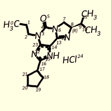 CCCN1C(=O)N2C[C@@H](C(C)C)N=C2c2[nH]c(C3CCCC3)nc21.Cl